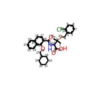 CC(C)(SCc1ccccc1Cl)C(NC(=O)c1ccc2ccccc2c1OCC1CCCCC1)C(=O)O